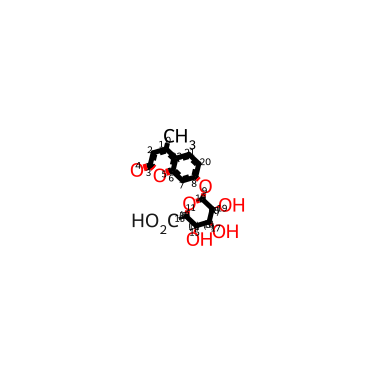 Cc1cc(=O)oc2cc(OC3O[C@H](C(=O)O)[C@@H](O)[C@H](O)[C@H]3O)ccc12